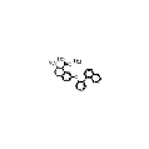 Cl.NC1CCc2ccc(Oc3ccccc3-c3cccc4ccccc34)cc2C1C(=O)O